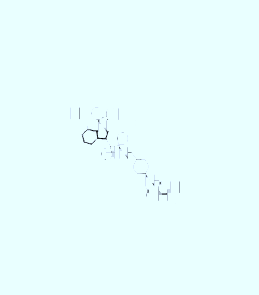 CCN(CC)C1CCC(CNC(=O)C(=O)c2cn(C(C)C)c3ccccc23)CC1